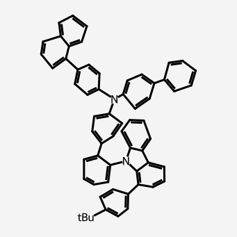 CC(C)(C)c1ccc(-c2cccc3c4ccccc4n(-c4ccccc4-c4ccc(N(c5ccc(-c6ccccc6)cc5)c5ccc(-c6cccc7ccccc67)cc5)cc4)c23)cc1